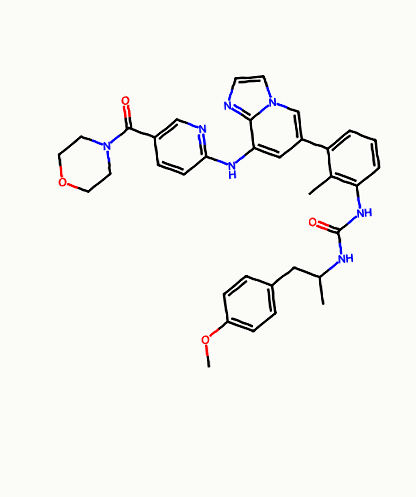 COc1ccc(CC(C)NC(=O)Nc2cccc(-c3cc(Nc4ccc(C(=O)N5CCOCC5)cn4)c4nccn4c3)c2C)cc1